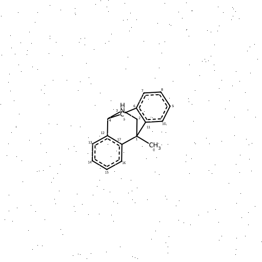 CC12CNC(Cc3ccccc31)c1ccccc12